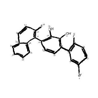 Oc1c(-c2cc(Br)ccc2F)ccc(-c2c(F)ccc3ccccc23)c1O